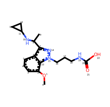 COc1cccc2c(C(C)NC3CC3)nn(CCCNC(=O)O)c12